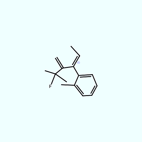 C=C(/C(=C\C)c1ccccc1C)C(C)(C)F